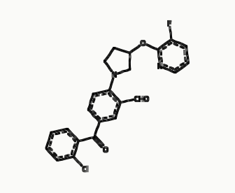 O=Cc1cc(C(=O)c2ccccc2Cl)ccc1N1CCC(Oc2ncccc2F)C1